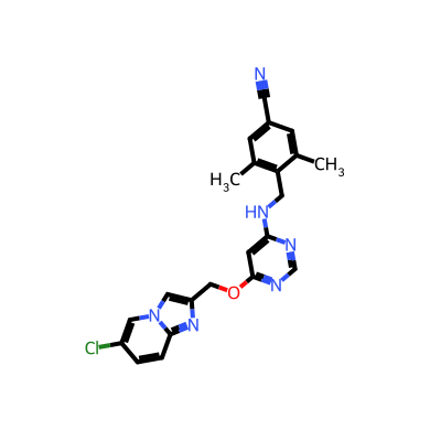 Cc1cc(C#N)cc(C)c1CNc1cc(OCc2cn3cc(Cl)ccc3n2)ncn1